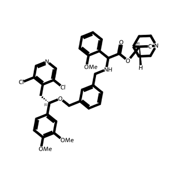 COc1ccc([C@H](Cc2c(Cl)cncc2Cl)OCc2cccc(CNC(C(=O)O[C@H]3CN4CCC3CC4)c3ccccc3OC)c2)cc1OC